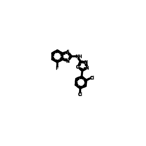 Fc1cccc2sc(Nc3nnc(-c4ccc(Cl)cc4Cl)o3)nc12